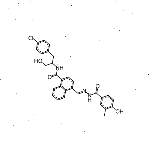 Cc1cc(C(=O)N/N=C/c2ccc(C(=O)NC(CO)Cc3ccc(Cl)cc3)c3ccccc23)ccc1O